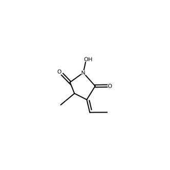 CC=C1C(=O)N(O)C(=O)C1C